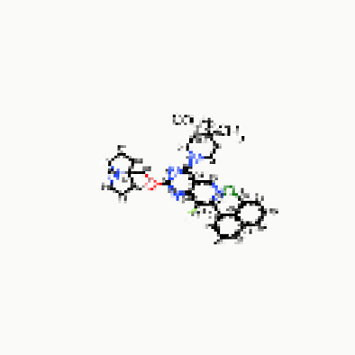 CC1(C(=O)O)CCN(c2nc(OCC34CCCN3CCC4)nc3c(F)c(-c4cccc5cccc(Cl)c45)ncc23)CC1